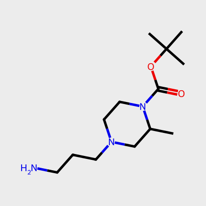 CC1CN(CCCN)CCN1C(=O)OC(C)(C)C